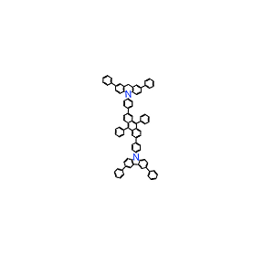 c1ccc(-c2ccc3c(c2)Cc2cc(-c4ccccc4)ccc2N3c2ccc(-c3ccc4c(-c5ccccc5)c5cc(-c6ccc(-n7c8ccc(-c9ccccc9)cc8c8cc(-c9ccccc9)ccc87)cc6)ccc5c(-c5ccccc5)c4c3)cc2)cc1